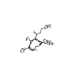 COc1ccc(Cl)c(F)c1C(I)CCO